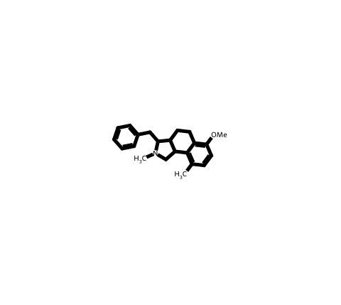 COc1ccc(C)c2c1CCC1C2CN(C)C1Cc1ccccc1